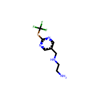 NCCNCc1cnc(SC(F)(F)F)nc1